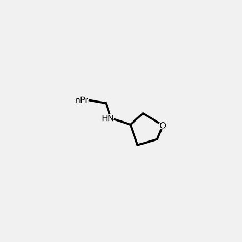 CCCCNC1CCOC1